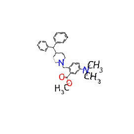 COC(=O)c1cc(N(C)C)ccc1CN1CCC(C(c2ccccc2)c2ccccc2)CC1